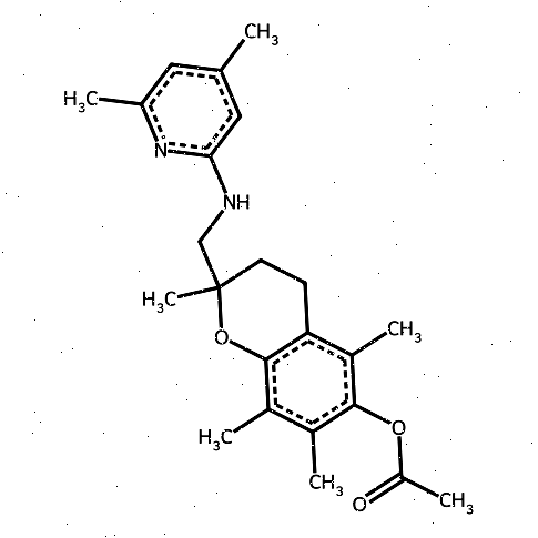 CC(=O)Oc1c(C)c(C)c2c(c1C)CCC(C)(CNc1cc(C)cc(C)n1)O2